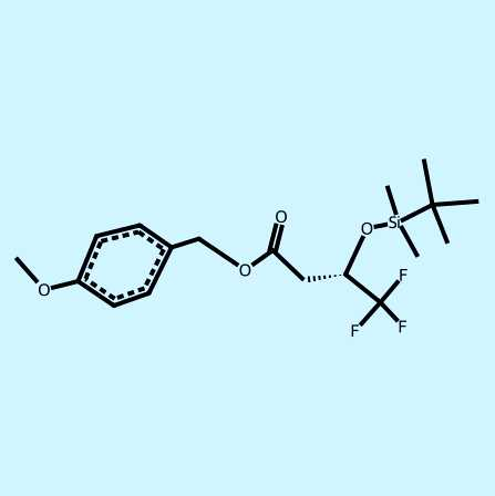 COc1ccc(COC(=O)C[C@H](O[Si](C)(C)C(C)(C)C)C(F)(F)F)cc1